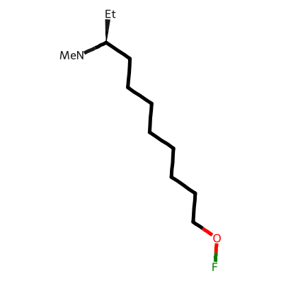 CC[C@@H](CCCCCCCCOF)NC